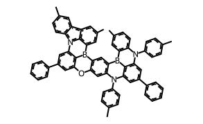 Cc1ccc(N2c3ccc(C)cc3B3c4cc5c(cc4N(c4ccc(C)cc4)c4cc(-c6ccccc6)cc2c43)Oc2cc(-c3ccccc3)cc3c2B5c2cc(C)cc4c5cc(C)ccc5n-3c24)cc1